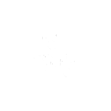 CC(C)C[C@H](N)C(=O)N(C=Cc1ccccc1)C(=O)[C@H](Cc1ccc(O)c(O)c1)NC(=O)OC(C)(C)C